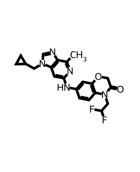 Cc1nc(Nc2ccc3c(c2)OCC(=O)N3CC(F)F)cc2c1ncn2CC1CC1